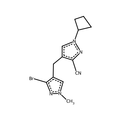 Cn1cc(Cc2cn(C3CCC3)nc2C#N)c(Br)n1